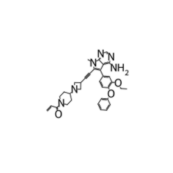 C=CC(=O)N1CCC(N2CC(C#Cc3c(-c4ccc(Oc5ccccc5)c(OCC)c4)c4c(N)ncnc4n3C)C2)CC1